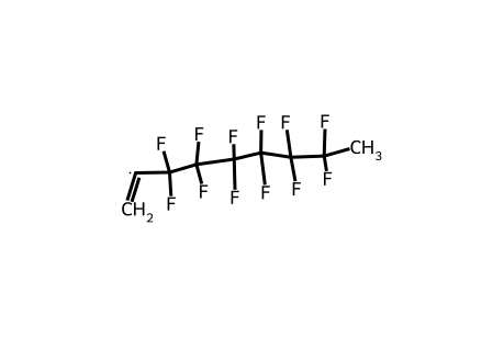 C=[C]C(F)(F)C(F)(F)C(F)(F)C(F)(F)C(F)(F)C(C)(F)F